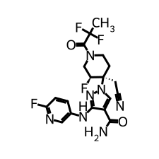 CC(F)(F)C(=O)N1CC[C@@](CC#N)(n2cc(C(N)=O)c(Nc3ccc(F)nc3)n2)[C@@H](F)C1